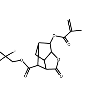 C=C(C)C(=O)OC1C2CC3C1OC(=O)C3C2C(=O)OCC(C)(F)F